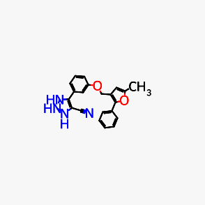 Cc1cc(COc2cccc(C3=C(C#N)NNN3)c2)c(-c2ccccc2)o1